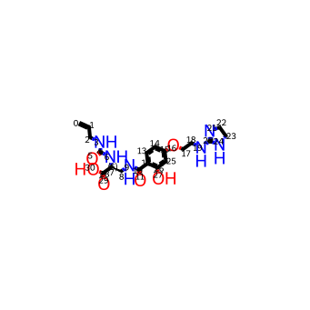 C=CCNC(=O)N[C@@H](CNC(=O)c1ccc(OCCNC2=NCCN2)cc1O)C(=O)O